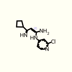 N=C(/C=C(/N)Nc1ccnc(Cl)c1)C1CCC1